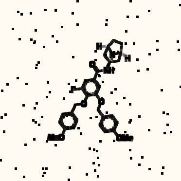 COc1ccc(COc2cc(C(=O)N[C@H]3C[C@H]4CC[C@@H](C3)N4C)cc(F)c2OCc2ccc(OC)cc2)cc1